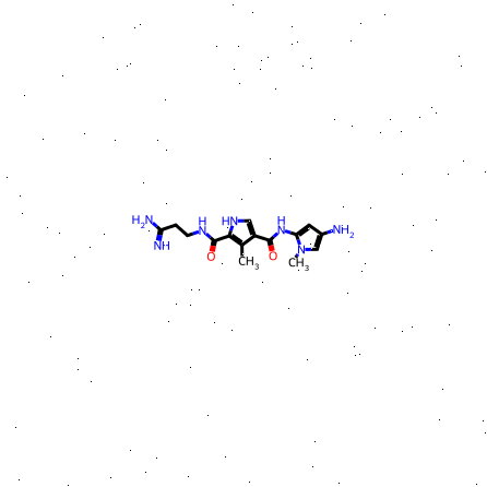 Cc1c(C(=O)Nc2cc(N)cn2C)c[nH]c1C(=O)NCCC(=N)N